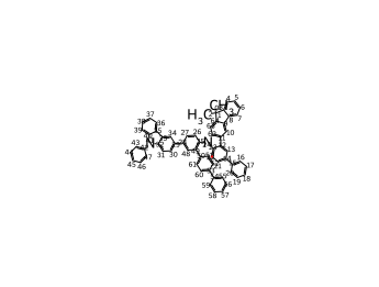 CC1(C)c2ccccc2-c2cc3c4cc(-c5ccccc5)ccc4n(-c4ccc(-c5ccc6c(c5)c5ccccc5n6-c5ccccc5)cc4-c4ccc(-c5ccccc5)cc4)c3cc21